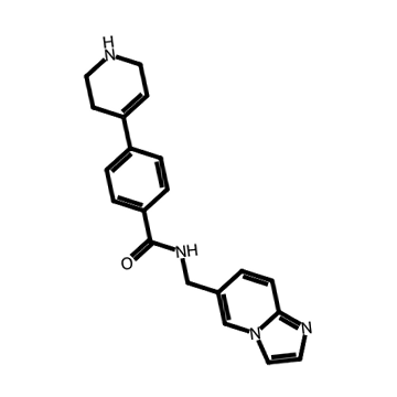 O=C(NCc1ccc2nccn2c1)c1ccc(C2=CCNCC2)cc1